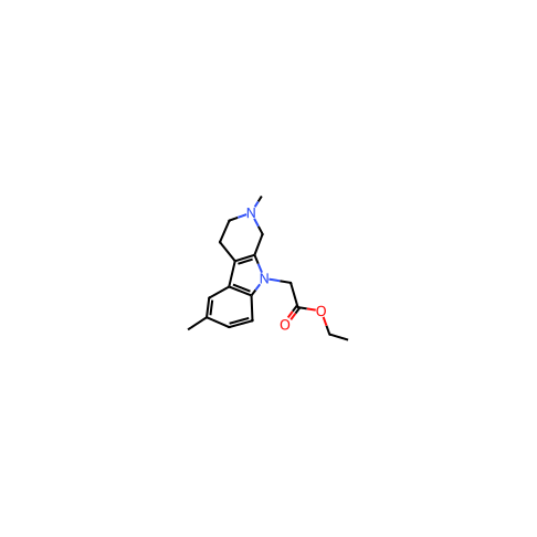 CCOC(=O)Cn1c2c(c3cc(C)ccc31)CCN(C)C2